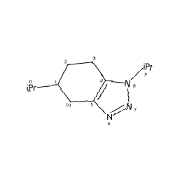 CC(C)C1CCc2c(nnn2C(C)C)C1